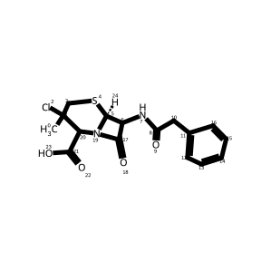 CC1(Cl)CS[C@H]2C(NC(=O)Cc3ccccc3)C(=O)N2C1C(=O)O